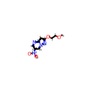 COCCOc1cc2ncc([N+](=O)[O-])cn2n1